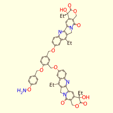 CCc1c2c(nc3ccc(OCc4ccc(OCc5ccc(ON)cc5)c(COc5ccc6nc7c(c(CC)c6c5)Cn5c-7cc6c(c5=O)COC(=O)[C@]6(O)CC)c4)cc13)-c1cc3c(c(=O)n1C2)COC(=O)[C@]3(O)CC